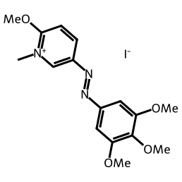 COc1cc(N=Nc2ccc(OC)[n+](C)c2)cc(OC)c1OC.[I-]